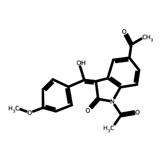 COc1ccc(C(O)=C2C(=O)N(C(C)=O)c3ccc(C(C)=O)cc32)cc1